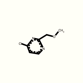 COCc1nccc(Cl)n1